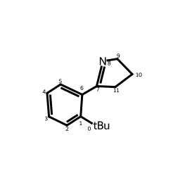 CC(C)(C)c1ccccc1C1=NCCC1